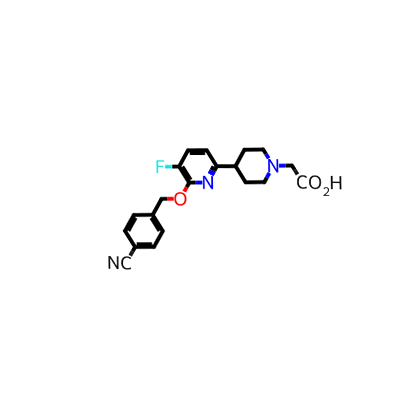 N#Cc1ccc(COc2nc(C3CCN(CC(=O)O)CC3)ccc2F)cc1